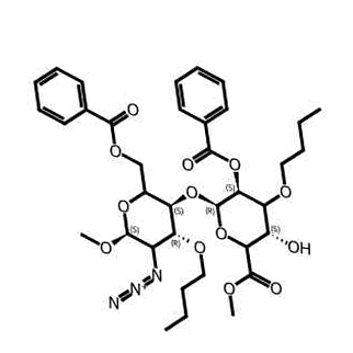 CCCCOC1[C@H](O)C(C(=O)OC)O[C@@H](O[C@@H]2C(COC(=O)c3ccccc3)O[C@H](OC)C(N=[N+]=[N-])[C@H]2OCCCC)[C@H]1OC(=O)c1ccccc1